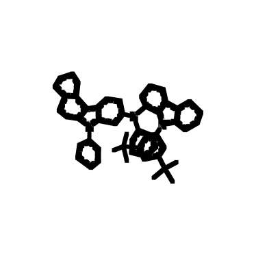 CC(C)(C)c1cc(-n2c3ccccc3c3cccc(N(c4ccccc4)c4ccc5c6c7ccccc7ccc6n(-c6ccccc6)c5c4)c32)cc(C(C)(C)C)c1